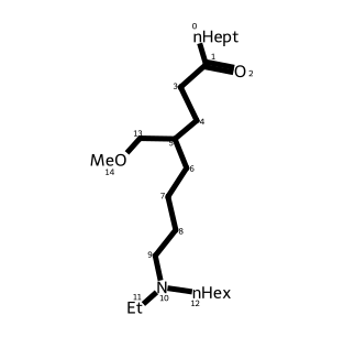 CCCCCCCC(=O)CCC(CCCCN(CC)CCCCCC)COC